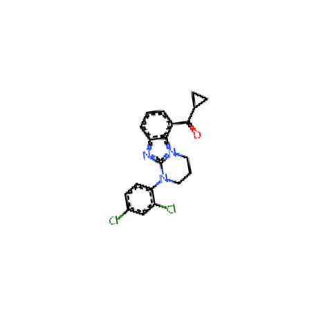 O=C(c1cccc2nc3n(c12)CCCN3c1ccc(Cl)cc1Cl)C1CC1